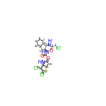 O=C(CCl)N[C@@H]1c2ccccc2C[C@H]1NC(=O)Oc1cc2sc(Cl)c(Cl)c2[nH]1